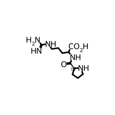 N=C(N)NCCCC(NC(=O)[C@@H]1CCCN1)C(=O)O